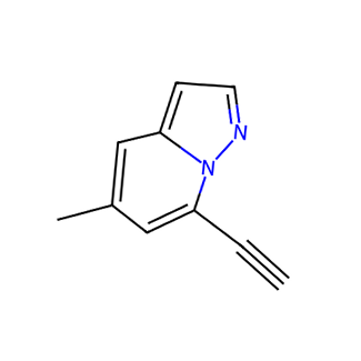 C#Cc1cc(C)cc2ccnn12